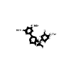 COc1cc(OC)cc(-c2ccc3nc(C)n(-c4ccc(OC)c(Cl)c4)c3c2)c1